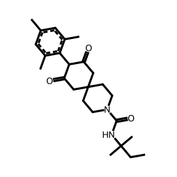 CCC(C)(C)NC(=O)N1CCC2(CC1)CC(=O)C(c1c(C)cc(C)cc1C)C(=O)C2